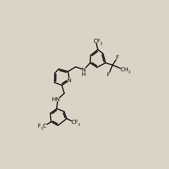 CC(F)(F)c1cc(NCc2cccc(CNc3cc(C(F)(F)F)cc(C(F)(F)F)c3)n2)cc(C(F)(F)F)c1